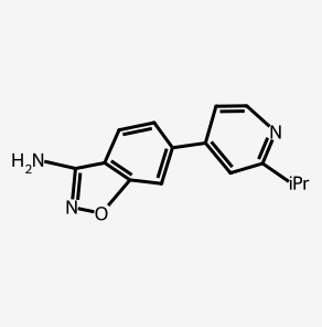 CC(C)c1cc(-c2ccc3c(N)noc3c2)ccn1